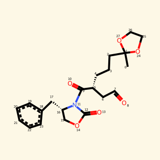 CC1(CCC[C@H](CC=O)C(=O)N2C(=O)OC[C@@H]2Cc2ccccc2)OCCO1